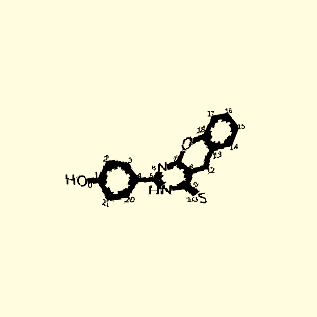 Oc1ccc(-c2nc3c(c(=S)[nH]2)Cc2ccccc2O3)cc1